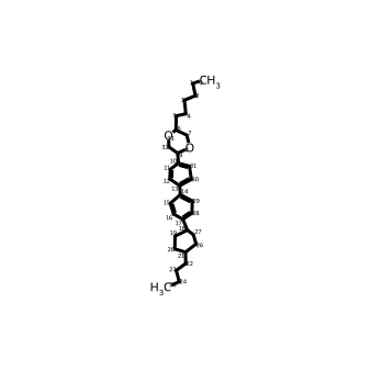 CCCCCCC1COC(c2ccc(-c3ccc(C4CCC(CCCC)CC4)cc3)cc2)CO1